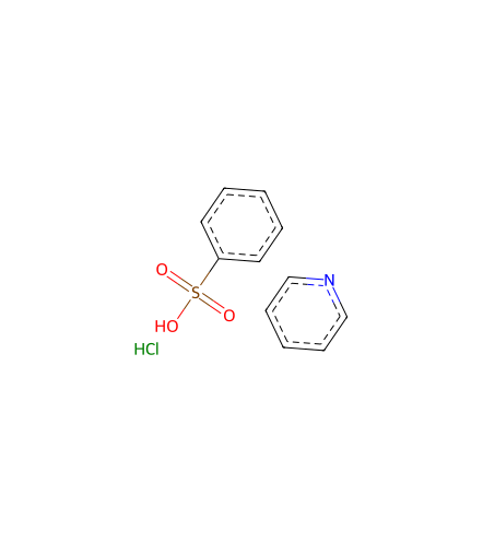 Cl.O=S(=O)(O)c1ccccc1.c1ccncc1